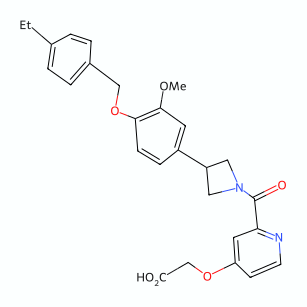 CCc1ccc(COc2ccc(C3CN(C(=O)c4cc(OCC(=O)O)ccn4)C3)cc2OC)cc1